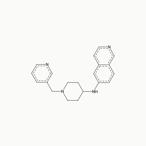 c1cncc(CN2CCC(Nc3ccc4cnccc4c3)CC2)c1